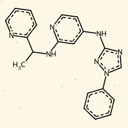 CC(Nc1cc(Nc2ncn(-c3ccccc3)n2)ccn1)c1ccccn1